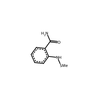 CSNc1ccccc1C(N)=O